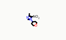 Cc1ncn(C2CCOCC2)c1[N+](=O)[O-]